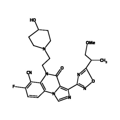 COCC(C)c1nc(-c2ncn3c2c(=O)n(CCN2CCC(O)CC2)c2c(C#N)c(F)ccc23)no1